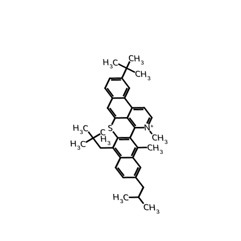 Cc1c2c(c(CC(C)(C)C)c3ccc(CC(C)C)cc13)Sc1cc3ccc(C(C)(C)C)cc3c3cc[n+](C)c-2c13